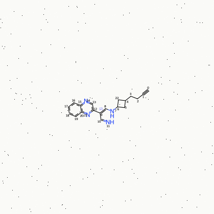 C#CCCC1CC(N/C=C(\C=N)c2cnc3ccccc3n2)C1